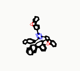 c1ccc2c(c1)-c1cc3ccccc3cc1CCC2c1c(-c2nc(-c3ccc4ccccc4c3)nc(-c3ccc4c(c3)oc3ccccc34)n2)ccc2c1oc1ccccc12